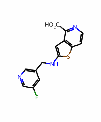 O=C(O)c1nccc2sc(NCc3cncc(F)c3)cc12